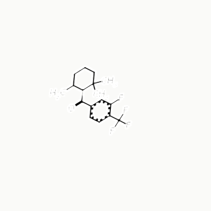 CC1CCCC(C)(C)[C@H]1C(=O)c1ccc(C(F)(F)F)c(F)c1